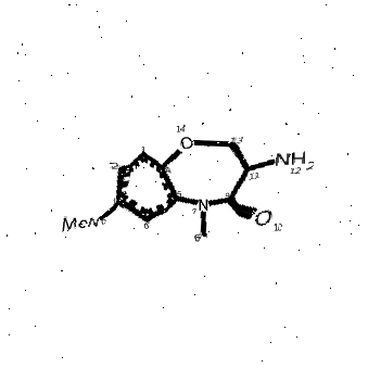 CNc1ccc2c(c1)N(C)C(=O)C(N)CO2